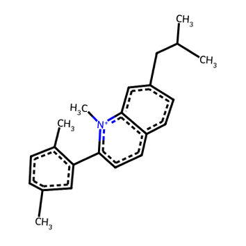 Cc1ccc(C)c(-c2ccc3ccc(CC(C)C)cc3[n+]2C)c1